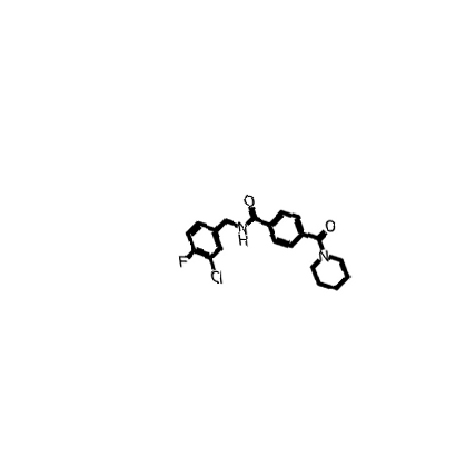 O=C(NCc1ccc(F)c(Cl)c1)c1ccc(C(=O)N2CCCCC2)cc1